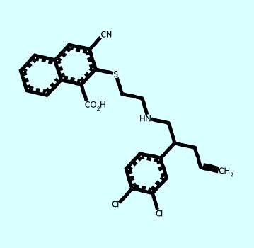 C=CCC(CNCCSc1c(C#N)cc2ccccc2c1C(=O)O)c1ccc(Cl)c(Cl)c1